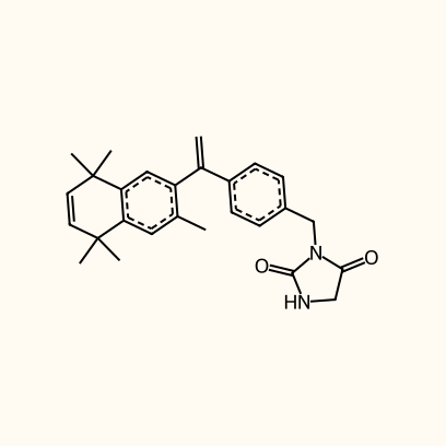 C=C(c1ccc(CN2C(=O)CNC2=O)cc1)c1cc2c(cc1C)C(C)(C)C=CC2(C)C